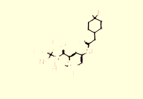 C=N/C(=C\C(=C/C)NC(=O)CC1CCC(F)(F)CC1)C(=O)NC(C)(C)C#N